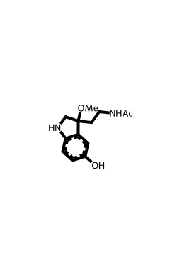 COC1(CCNC(C)=O)CNc2ccc(O)cc21